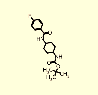 CC(C)(C)OC(=O)NC1CCC(NC(=O)c2ccc(F)cc2)CC1